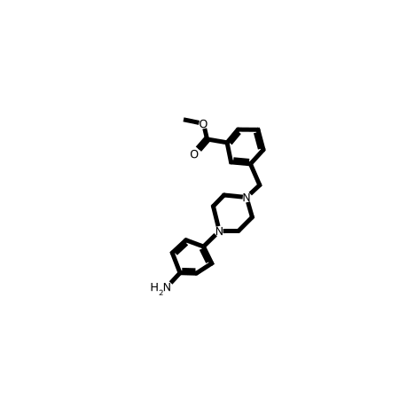 COC(=O)c1cccc(CN2CCN(c3ccc(N)cc3)CC2)c1